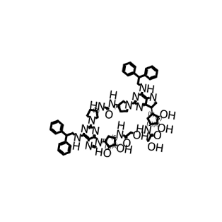 O=C(CO)N[C@H]1C[C@@H](n2cnc3c(NCC(c4ccccc4)c4ccccc4)nc(N4CC[C@@H](NC(=O)N[C@@H]5CCN(c6nc(NCC(c7ccccc7)c7ccccc7)c7c(n6)C([C@@H]6C[C@H](NC(=O)CO)[C@@H](O)[C@H]6O)C=N7)C5)C4)nc32)[C@H](O)[C@@H]1O